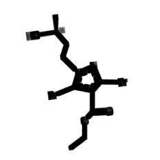 CCOC(=O)c1c(Br)nn(CC[C@H](C)O)c1Br